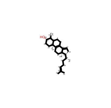 CCC1C2CCC3=C(CC[C@@]4(C)C3=CC[C@@H]4[C@H](C)CCC=C(C)C)[C@@]2(C)CC[C@@H]1O